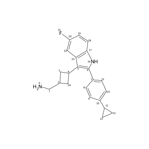 NCC1CC(c2c(-c3ccc(C4CC4)cc3)[nH]c3ccc(F)cc23)C1